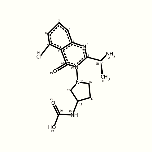 C[C@H](N)c1nc2cccc(Cl)c2c(=O)n1N1CCC(NC(=O)O)C1